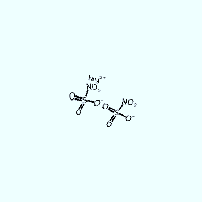 O=[N+]([O-])S(=O)(=O)[O-].O=[N+]([O-])S(=O)(=O)[O-].[Mg+2]